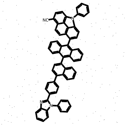 N#Cc1ccc2c3c1ccc1c(-c4c5ccccc5c(-c5ccc(-c6ccc(-c7nc8ccccc8n7-c7ccccc7)cc6)c6ccccc56)c5ccccc45)ccc(c13)n2-c1ccccc1